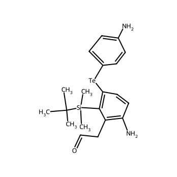 CC(C)(C)[Si](C)(C)c1c([Te]c2ccc(N)cc2)ccc(N)c1CC=O